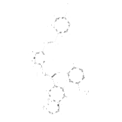 COc1ccccc1-c1cc2ccnn2cc1C(=O)Nc1nnc(OCc2ccc(Cl)cn2)s1